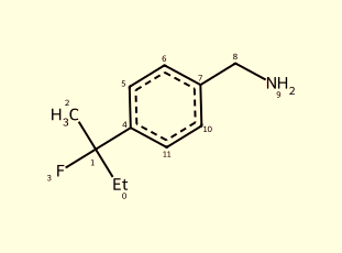 CCC(C)(F)c1ccc(CN)cc1